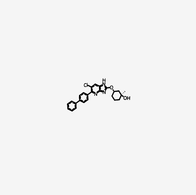 C[C@]1(O)CCC[C@@H](Oc2nc3nc(-c4ccc(-c5ccccc5)cc4)c(Cl)cc3[nH]2)C1